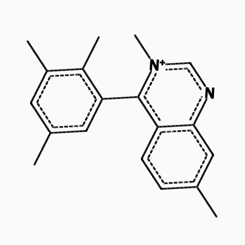 Cc1cc(C)c(C)c(-c2c3ccc(C)cc3nc[n+]2C)c1